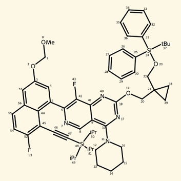 COCOc1cc(-c2ncc3c(N4CCCCC4)nc(OCC4(CO[Si](c5ccccc5)(c5ccccc5)C(C)(C)C)CC4)nc3c2F)c2c(C#C[Si](C(C)C)(C(C)C)C(C)C)c(F)ccc2c1